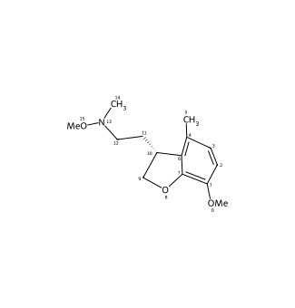 COc1ccc(C)c2c1OC[C@@H]2CCN(C)OC